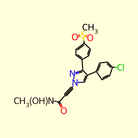 CN(O)C(=O)C#Cn1cc(-c2ccc(Cl)cc2)c(-c2ccc(S(C)(=O)=O)cc2)n1